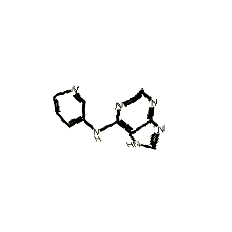 c1cncc(Nc2ncnc3nc[nH]c23)c1